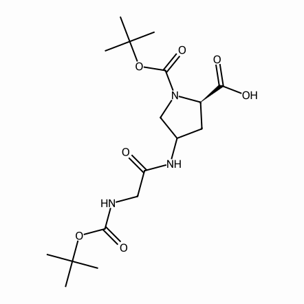 CC(C)(C)OC(=O)NCC(=O)NC1C[C@H](C(=O)O)N(C(=O)OC(C)(C)C)C1